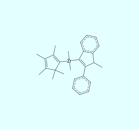 CC1=C(C)C(C)(C)[C]([Zr]([CH3])([CH3])[C]2=C(c3ccccc3)C(C)c3ccccc32)=C1C